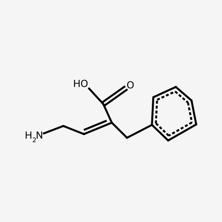 NCC=C(Cc1ccccc1)C(=O)O